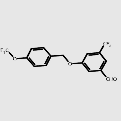 O=Cc1cc(OCc2ccc(OC(F)(F)F)cc2)cc(C(F)(F)F)c1